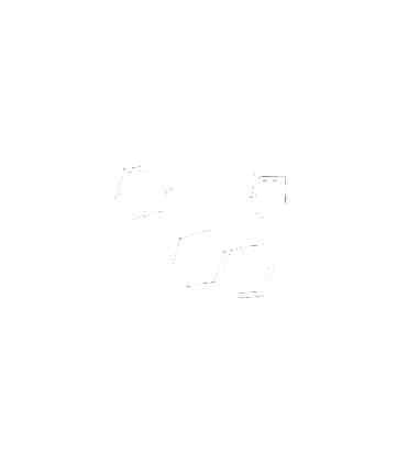 Fc1ccc(C2CCc3cc(F)ccc3C2Cc2ncc[nH]2)cc1